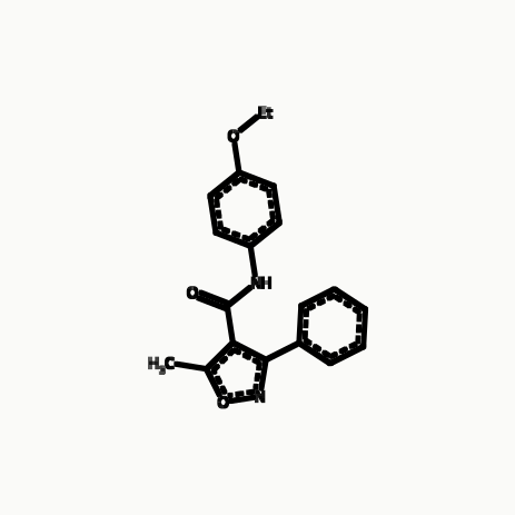 CCOc1ccc(NC(=O)c2c(-c3ccccc3)noc2C)cc1